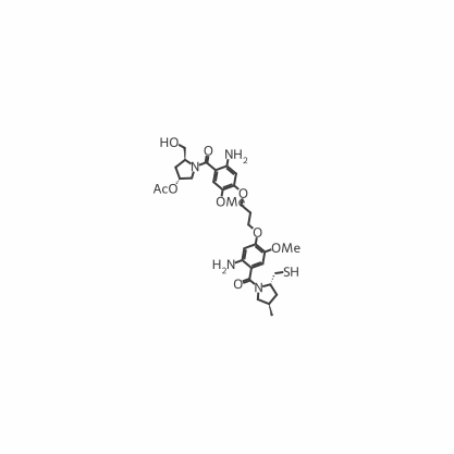 COc1cc(C(=O)N2C[C@H](C)C[C@H]2CS)c(N)cc1OCCCOc1cc(N)c(C(=O)N2C[C@H](OC(C)=O)C[C@H]2CO)cc1OC